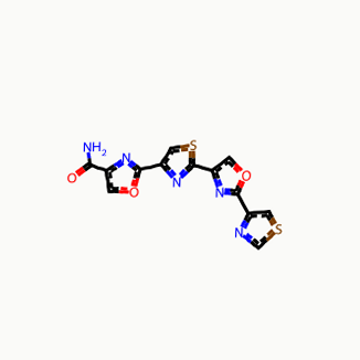 NC(=O)c1coc(-c2csc(-c3coc(-c4cscn4)n3)n2)n1